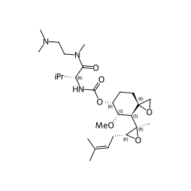 CO[C@@H]1[C@H](OC(=O)N[C@@H](C(=O)N(C)CCN(C)C)C(C)C)CC[C@]2(CO2)[C@H]1[C@@]1(C)O[C@@H]1CC=C(C)C